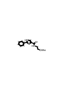 COCCNC(=O)c1c[nH]c(-c2cc[c]cc2)n1